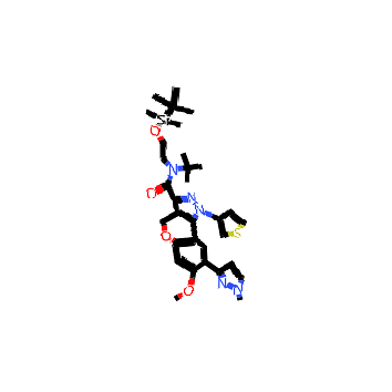 COc1cc2c(cc1-c1ccn(C)n1)-c1c(c(C(=O)N(CCO[Si](C)(C)C(C)(C)C)C(C)(C)C)nn1-c1ccsc1)CO2